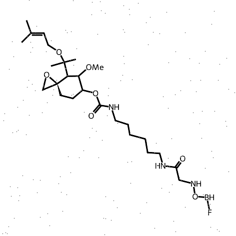 COC1C(OC(=O)NCCCCCCNC(=O)CNOBF)CC[C@]2(CO2)C1C(C)(C)OCC=C(C)C